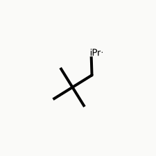 C[C](C)CC(C)(C)C